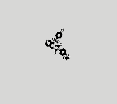 O=C1CN(Cc2ccncc2NS(=O)(=O)c2ccc(Cl)cc2)C(=O)N1c1ccc(OC(F)(F)F)cc1